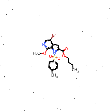 CCCCOC(=O)c1cc2c(Br)cnc(OC)c2n1S(=O)(=O)c1ccc(C)cc1